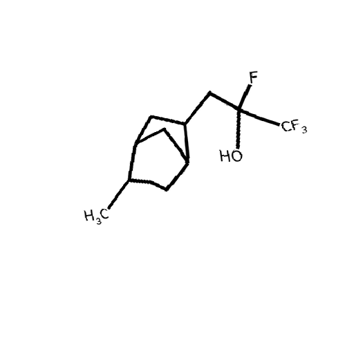 CC1CC2CC1CC2CC(O)(F)C(F)(F)F